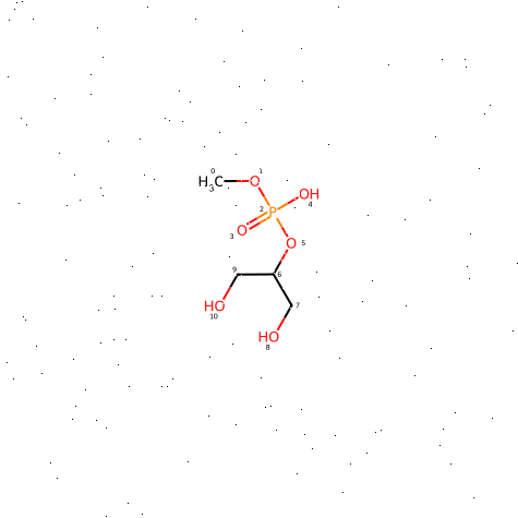 COP(=O)(O)OC(CO)CO